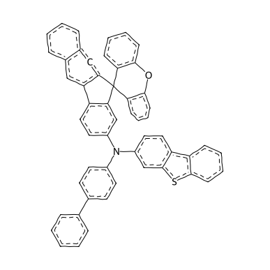 c1ccc(-c2ccc(N(c3ccc4c(c3)C3(c5ccccc5Oc5ccccc53)c3cc5ccccc5cc3-4)c3ccc4c(c3)sc3ccccc34)cc2)cc1